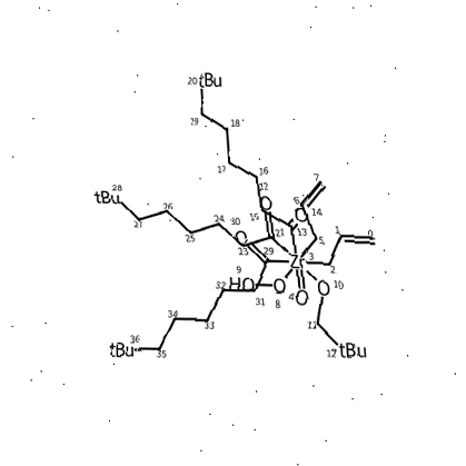 C=C[CH2][Zr](=[O])([CH2]C=C)([O]O)([O]CC(C)(C)C)([C](=O)CCCCCC(C)(C)C)([C](=O)CCCCCC(C)(C)C)[C](=O)CCCCCC(C)(C)C